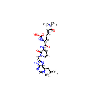 CC(C)Cc1ncnc2[nH]c(Cn3cccc(NC(=O)C(CC/C=C/C(=O)N(C)C)NC(=O)O)c3=O)nc12